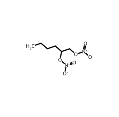 [CH2]CCCC(CO[N+](=O)[O-])O[N+](=O)[O-]